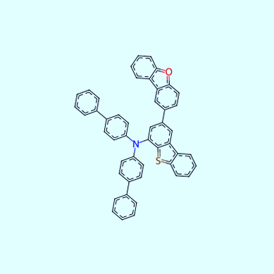 c1ccc(-c2ccc(N(c3ccc(-c4ccccc4)cc3)c3cc(-c4ccc5oc6ccccc6c5c4)cc4c3sc3ccccc34)cc2)cc1